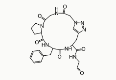 O=CCNC(=O)C1Cc2cn(nn2)CC(=O)NCC(=O)N2CCCC2C(=O)NC(Cc2ccccc2)C(=O)N1